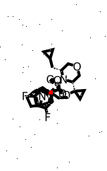 CCCN1C2CCC1CN(C(=O)OC1([C@H]3COC[C@@H](CC4CC4)N3S(=O)(=O)c3cc(F)cc(F)c3)CC1)C2